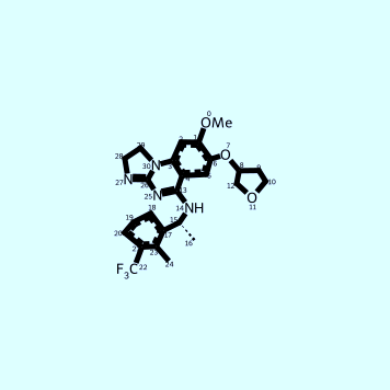 COc1cc2c(cc1OC1CCOC1)C(N[C@H](C)c1cccc(C(F)(F)F)c1C)=NC1=NCCN12